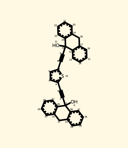 OC1(C#Cc2ccc(C#CC3(O)c4ccccc4Cc4ccccc43)s2)c2ccccc2Cc2ccccc21